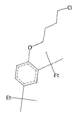 CCC(C)(C)c1ccc(OCCCCCl)c(C(C)(C)CC)c1